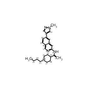 C=C(Nc1cc2cc(-c3cnn(C)c3)ccc2cn1)C1CCN(CCCC)CC1